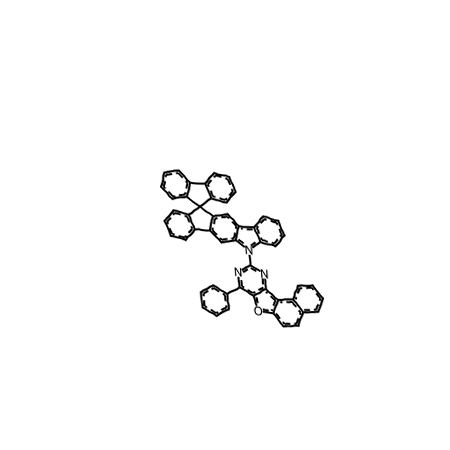 c1ccc(-c2nc(-n3c4ccccc4c4cc5c(cc43)-c3ccccc3C53c4ccccc4-c4ccccc43)nc3c2oc2ccc4ccccc4c23)cc1